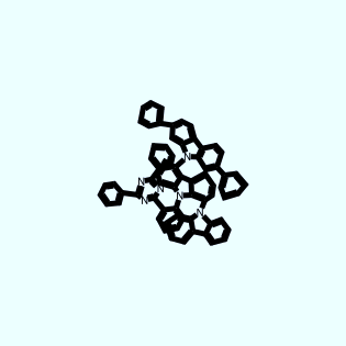 c1ccc(-c2ccc3c4ccc(-c5ccccc5)cc4n(-c4cccc5c4c4cccc(-n6c7ccccc7c7ccccc76)c4n5-c4ccccc4-c4nc(-c5ccccc5)nc(-c5ccccc5)n4)c3c2)cc1